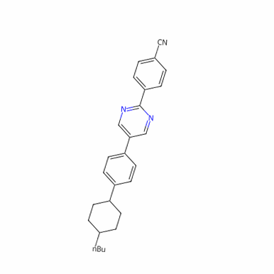 CCCCC1CCC(c2ccc(-c3cnc(-c4ccc(C#N)cc4)nc3)cc2)CC1